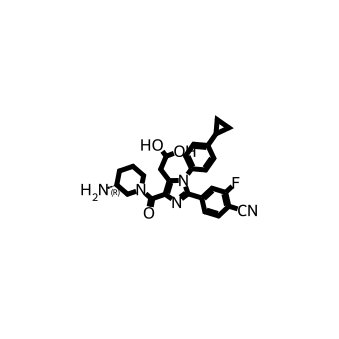 N#Cc1ccc(-c2nc(C(=O)N3CCC[C@@H](N)C3)c(CC(O)O)n2-c2ccc(C3CC3)cc2)cc1F